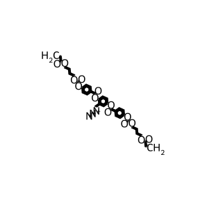 C=CC(=O)OCCCCOC(=O)Oc1ccc(C(=O)Oc2ccc(OC(=O)c3ccc(OC(=O)OCCCCOC(=O)C=C)cc3)c(CN=[N+]=[N-])c2)cc1